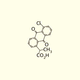 CC(C(=O)O)c1cccc2c1C(=O)c1cccc(Cl)c1C2=O